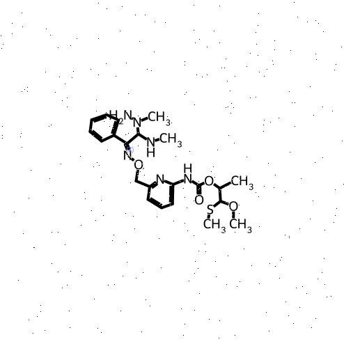 CNC(/C(=N\OCc1cccc(NC(=O)OC(C)C(OC)SC)n1)c1ccccc1)N(C)N